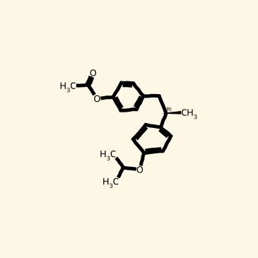 CC(=O)Oc1ccc(C[C@@H](C)c2ccc(OC(C)C)cc2)cc1